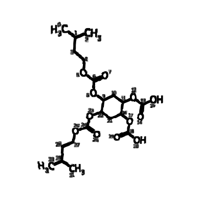 CC(C)CCOC(=O)OC1CC(OC(=O)O)C(OC(=O)O)CC1OC(=O)OCCC(C)C